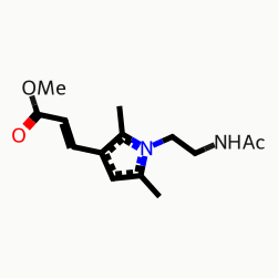 COC(=O)C=Cc1cc(C)n(CCNC(C)=O)c1C